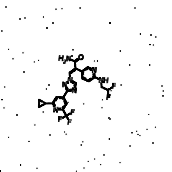 NC(=O)/C(=C/n1cnc(-c2cc(C3CC3)nc(C(F)(F)F)c2)n1)c1ccc(NCC(F)F)nc1